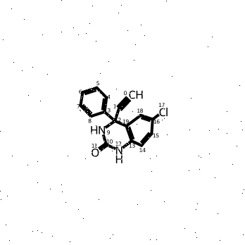 C#CC1(c2ccccc2)NC(=O)Nc2ccc(Cl)cc21